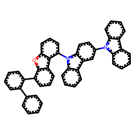 c1ccc(-c2ccccc2-c2cccc3c2oc2cccc(-n4c5ccccc5c5cc(-n6c7ccccc7c7ccccc76)ccc54)c23)cc1